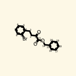 O=C(CCc1ccccc1Br)C(=O)OCc1ccccc1